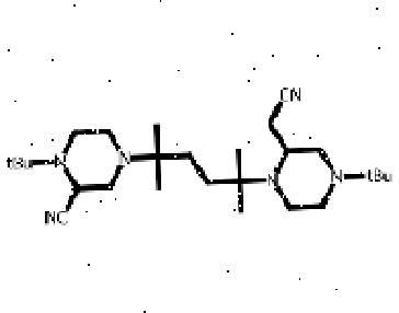 CC(C)(C)N1CCN(C(C)(C)CCC(C)(C)N2CCN(C(C)(C)C)C(C#N)C2)C(CC#N)C1